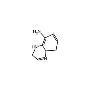 NC1=C2NCC=NC2CC=C1